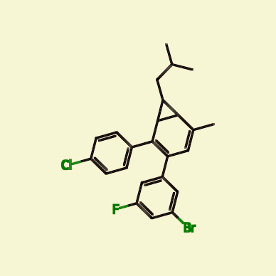 CC1=CC(c2cc(F)cc(Br)c2)=C(c2ccc(Cl)cc2)C2C(CC(C)C)C12